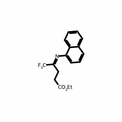 CCOC(=O)CCC(=Nc1cccc2ccccc12)C(F)(F)F